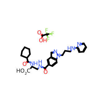 O=C(NCC(NC(=O)C1CCCCC1)C(=O)O)c1ccc2c(cnn2CCCNc2ccccn2)c1.O=C(O)C(F)(F)F